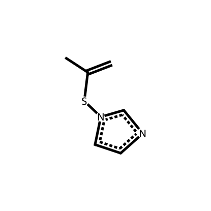 C=C(C)Sn1ccnc1